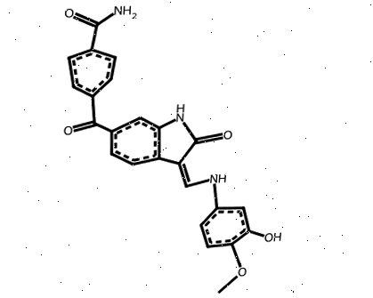 COc1ccc(NC=C2C(=O)Nc3cc(C(=O)c4ccc(C(N)=O)cc4)ccc32)cc1O